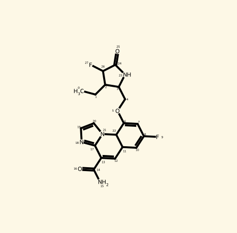 CCC1C(COC2=CC(F)=CC3C=C(C(N)=O)c4nccn4C23)NC(=O)C1F